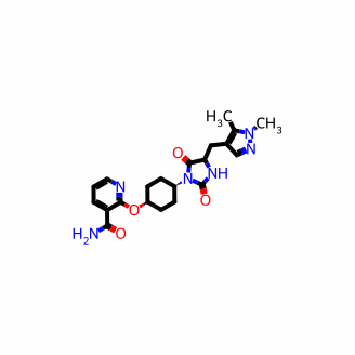 Cc1c(CC2NC(=O)N([C@H]3CC[C@H](Oc4ncccc4C(N)=O)CC3)C2=O)cnn1C